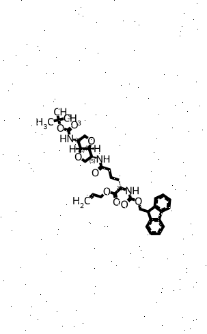 C=CCOC(=O)[C@H](CCCC(=O)N[C@H]1CO[C@H]2[C@@H]1OC[C@@H]2NC(=O)OC(C)(C)C)NC(=O)OCC1c2ccccc2-c2ccccc21